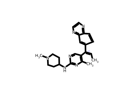 C/C=C(/c1ccc2nccnc2c1)c1cnc(NC2CCN(C)CC2)nc1C